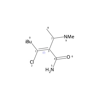 CCC(C)/C(Cl)=C(/C(N)=O)C(C)NC